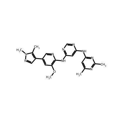 COc1cc(-c2cnn(C)c2C)cnc1Nc1cc(Nc2cc(C)nc(C)n2)ncn1